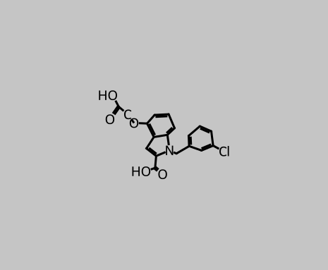 O=C(O)COc1cccc2c1cc(C(=O)O)n2Cc1cccc(Cl)c1